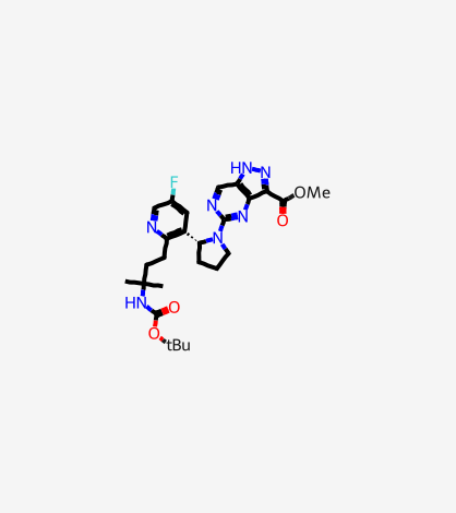 COC(=O)c1n[nH]c2cnc(N3CCC[C@@H]3c3cc(F)cnc3CCC(C)(C)NC(=O)OC(C)(C)C)nc12